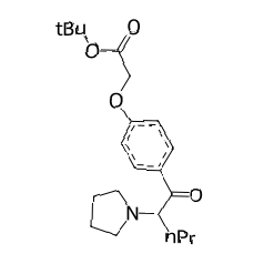 CCCC(C(=O)c1ccc(OCC(=O)OC(C)(C)C)cc1)N1CCCC1